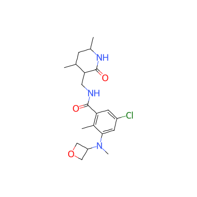 Cc1c(C(=O)NCC2C(=O)NC(C)CC2C)cc(Cl)cc1N(C)C1COC1